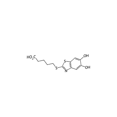 O=C(O)CCCCSc1nc2cc(O)c(O)cc2s1